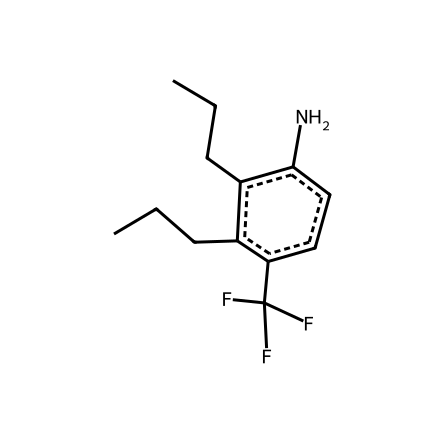 CCCc1c(N)ccc(C(F)(F)F)c1CCC